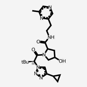 Cc1cncc(CCNC(=O)C2CC(O)CN2C(=O)[C@@H](n2cc(C3CC3)nn2)C(C)(C)C)n1